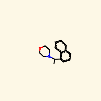 CC(c1cccc2cc[c]cc12)N1CCOCC1